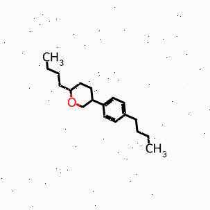 CCCCc1ccc(C2CCC(CCCC)OC2)cc1